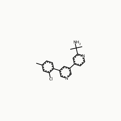 Cc1ccc(-c2cncc(-c3ccnc(C(C)(C)N)c3)c2)c(Cl)c1